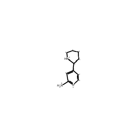 Nc1cc(C2CCCCN2)ccn1